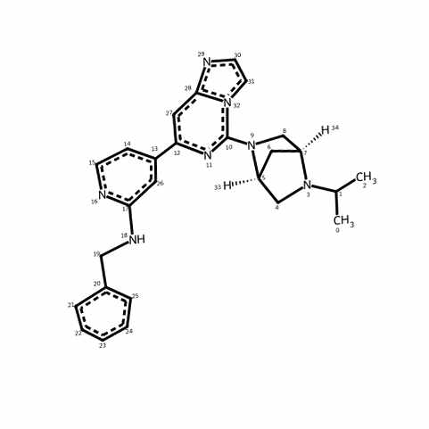 CC(C)N1C[C@@H]2C[C@H]1CN2c1nc(-c2ccnc(NCc3ccccc3)c2)cc2nccn12